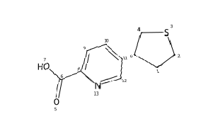 C1CCSC1.O=C(O)c1ccccn1